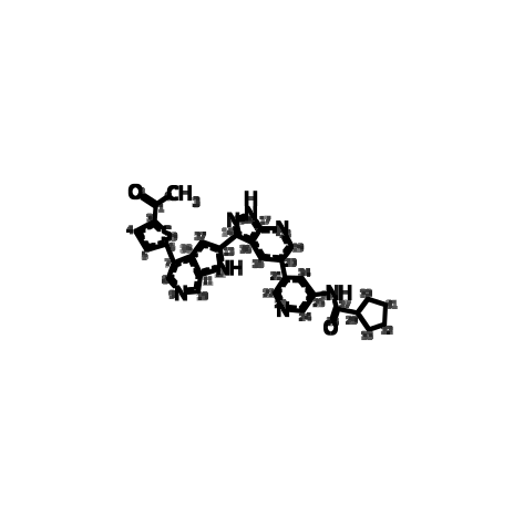 CC(=O)c1ccc(-c2cncc3[nH]c(-c4n[nH]c5ncc(-c6cncc(NC(=O)C7CCCC7)c6)cc45)cc23)s1